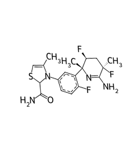 CC1=CSC(C(N)=O)N1c1ccc(F)c([C@@]2(C)N=C(N)[C@](C)(F)C[C@@H]2F)c1